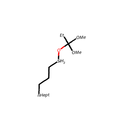 CCCCCCCCCC[SiH2]OC(CC)(OC)OC